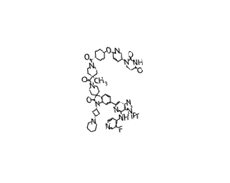 CC(C)n1cnc2cc(-c3ccc4c(c3)N([C@H]3C[C@@H](N5CCCCC5)C3)C(=O)C43CCN(C(=O)C4(C)CCN(C(=O)[C@H]5CC[C@H](Oc6ccc(N7CCC(=O)NC7=O)cn6)CC5)CC4)CC3)nc(Nc3ccncc3F)c21